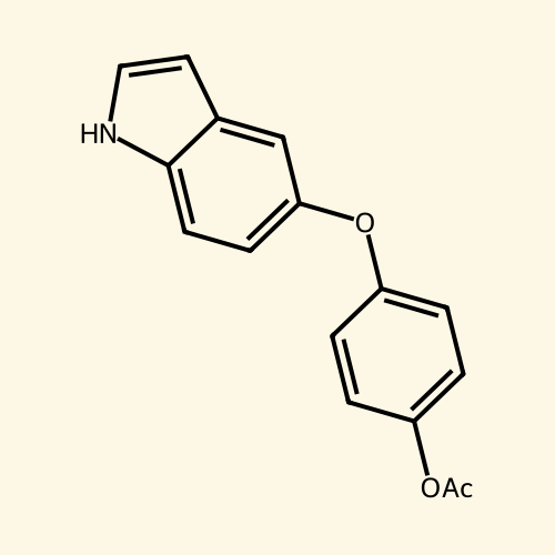 CC(=O)Oc1ccc(Oc2ccc3[nH]ccc3c2)cc1